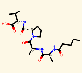 CCCCC(=O)N[C@@H](C)C(=O)N[C@@H](C)C(=O)N1CCC[C@H]1C(=O)N[C@H](C(=O)O)C(C)C